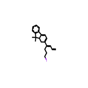 C=C/C=C(\CCCI)C1=CC=C2c3ccccc3C(C)(C)C2C1